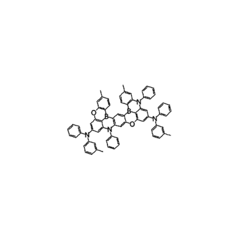 Cc1cccc(N(c2ccccc2)c2cc3c4c(c2)N(c2ccccc2)c2cc(C)ccc2B4c2cc4c(cc2O3)N(c2ccccc2)c2cc(N(c3ccccc3)c3cccc(C)c3)cc3c2B4c2ccc(C)cc2O3)c1